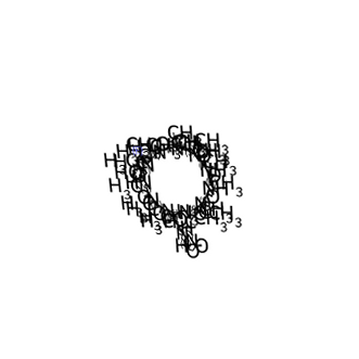 C/C=C/C[C@@H](C)[C@@H](O)[C@H]1C(=O)N[C@@H](CC)C(=O)N(C)[C@H](C)C(=O)N(C)[C@@H]([C@H](C)CCN2CCN3C(=O)OC[C@@H]3C2)C(=O)N[C@@H](C(C)C)C(=O)N(C)[C@@H](CC(C)C)C(=O)N[C@@H](C)C(=O)N[C@H](C)C(=O)N(C)[C@@H](CC(C)C)C(=O)N(C)[C@@H](CC(C)C)C(=O)N(C)[C@@H](C(C)C)C(=O)N1C